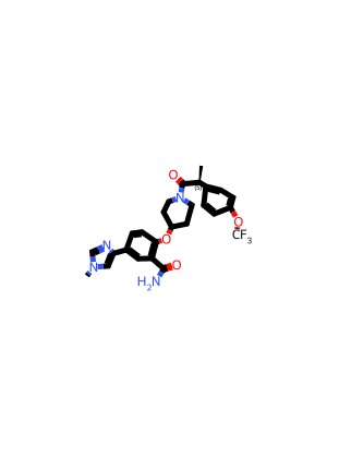 C[C@H](C(=O)N1CCC(Oc2ccc(-c3cn(C)cn3)cc2C(N)=O)CC1)c1ccc(OC(F)(F)F)cc1